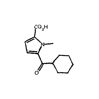 Cn1c(C(=O)O)ccc1C(=O)C1CCCCC1